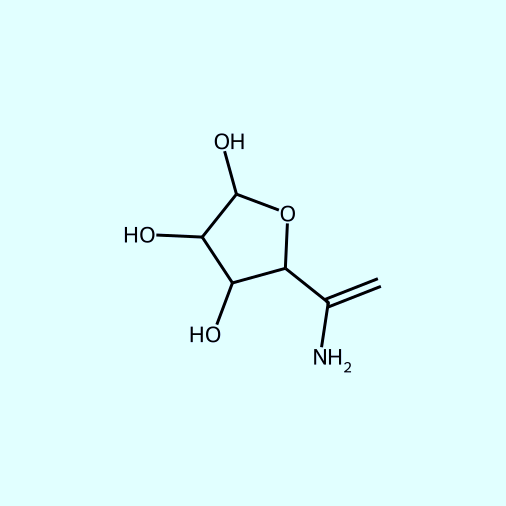 C=C(N)C1OC(O)C(O)C1O